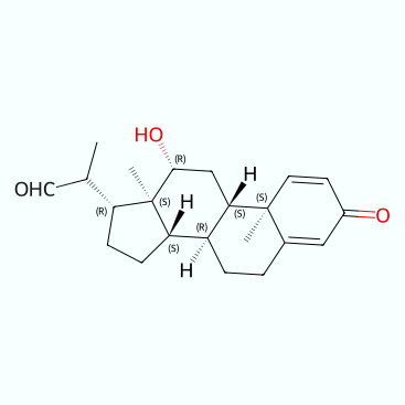 CC(C=O)[C@H]1CC[C@H]2[C@@H]3CCC4=CC(=O)C=C[C@]4(C)[C@H]3C[C@@H](O)[C@]12C